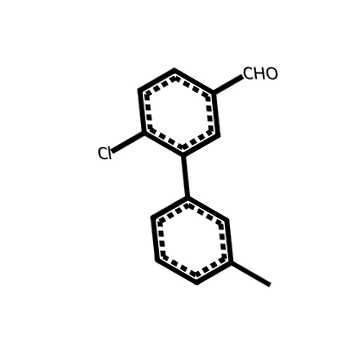 Cc1cccc(-c2cc(C=O)ccc2Cl)c1